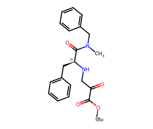 CN(Cc1ccccc1)C(=O)[C@H](Cc1ccccc1)NCC(=O)C(=O)OC(C)(C)C